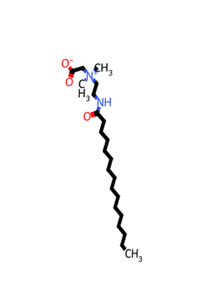 CCCCCCCCCCCCCCCC(=O)NCC[N+](C)(C)CC(=O)[O-]